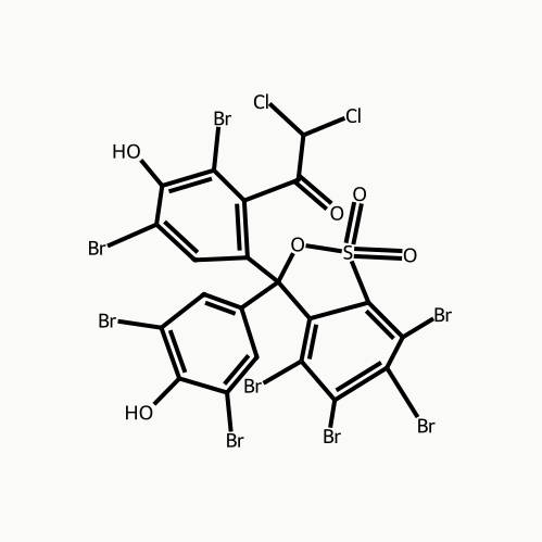 O=C(c1c(C2(c3cc(Br)c(O)c(Br)c3)OS(=O)(=O)c3c(Br)c(Br)c(Br)c(Br)c32)cc(Br)c(O)c1Br)C(Cl)Cl